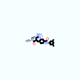 CCCN(CCC)C(=O)C1=Cc2ccc(C(=O)Nc3cc(C)cc(C)c3)cc2N=C(N)C1